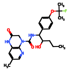 CCCC(O)C(NC(=O)N1CC(=O)Nc2cc(C)cnc21)c1ccc(OC(C)(C)F)cc1